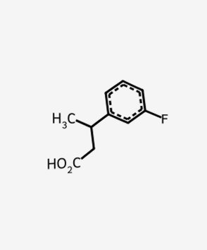 CC(CC(=O)O)c1cccc(F)c1